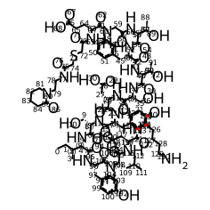 CC[C@H](C)[C@H](NC(=O)[C@H](CO)NC(=O)[C@H](Cc1ccc(O)cc1)NC(=O)[C@H](CC(=O)O)NC(=O)[C@H](CO)NC(=O)[C@@H](NC(=O)[C@H](Cc1ccccc1)NC(=O)[C@@H](NC(=O)CNC(=O)[C@H](CCC(=O)O)NC(=O)CSCC(=O)NCCN1CCCCC1=O)[C@@H](C)O)[C@@H](C)O)C(=O)N[C@@H](Cc1ccc(O)cc1)C(=O)N[C@@H](CC(C)C)C(=O)N[C@@H](CC(=O)O)C(=O)N[C@H](C)CCCCN